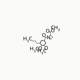 CCCCc1cc(C(=O)N2CCC2C(=O)OC)cc(OC)c1OC